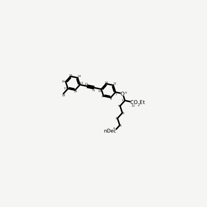 CCCCCCCCCCCCCCC(Oc1ccc(C#Cc2cccc(C)c2)cc1)C(=O)OCC